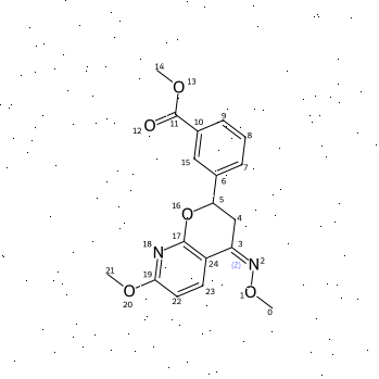 CO/N=C1/CC(c2cccc(C(=O)OC)c2)Oc2nc(OC)ccc21